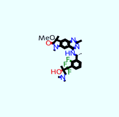 CO[C@@]1(C)C(=O)N(C)c2cc3c(N[C@H](C)c4cccc(C(F)(F)C(C)(O)CN(C)C)c4F)nc(C)nc3cc21